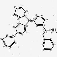 N[C@@H](Cc1ccccc1)c1cccc(-n2c3ccccc3c3cc(-c4ccccc4)ccc32)c1